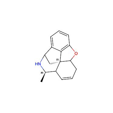 C[C@H]1NC2C[C@]34c5c(cccc52)OC3CC=CC14